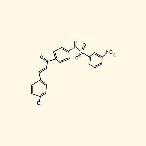 O=C(C=Cc1ccc(O)cc1)c1ccc(NS(=O)(=O)c2cccc([N+](=O)[O-])c2)cc1